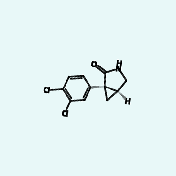 O=C1NC[C@H]2C[C@@]12c1ccc(Cl)c(Cl)c1